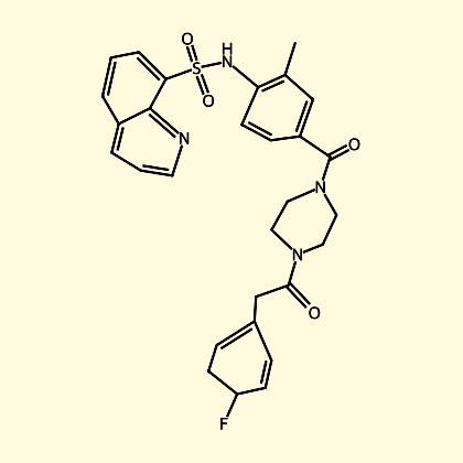 Cc1cc(C(=O)N2CCN(C(=O)CC3=CCC(F)C=C3)CC2)ccc1NS(=O)(=O)c1cccc2cccnc12